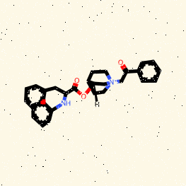 O=C(C[N+]12CCC(CC1)[C@@H](OC(=O)C(Cc1ccccc1)Nc1ccccc1)C2)c1ccccc1